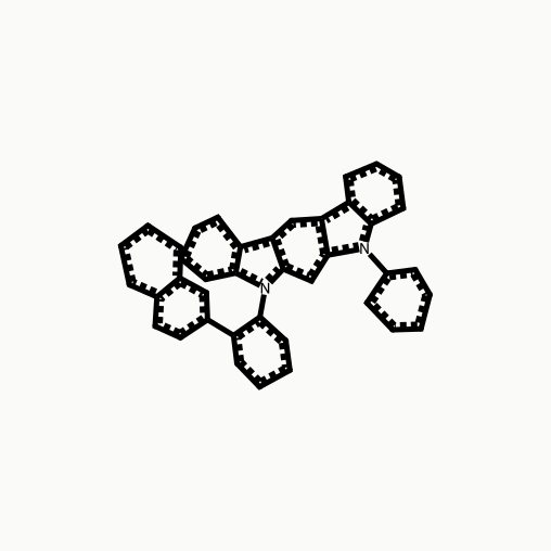 c1ccc(-n2c3ccccc3c3cc4c5ccccc5n(-c5ccccc5-c5ccc6ccccc6c5)c4cc32)cc1